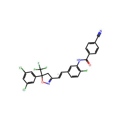 N#Cc1ccc(C(=O)Nc2cc(/C=C/C3=NOC(c4cc(Cl)cc(Cl)c4)(C(F)(F)F)C3)ccc2F)cc1